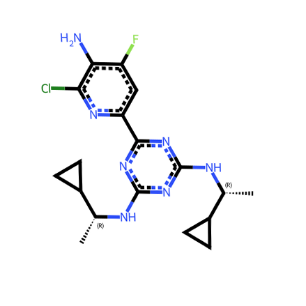 C[C@@H](Nc1nc(N[C@H](C)C2CC2)nc(-c2cc(F)c(N)c(Cl)n2)n1)C1CC1